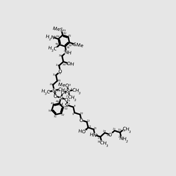 CO[Si](C)(C)O[Si](O[SiH2]CCCOCC(O)CNC(C)COCC(C)N)(O[Si](C)(C)CCCOCC(O)CNc1c(SC)cc(SC)c(N)c1C)c1ccccc1